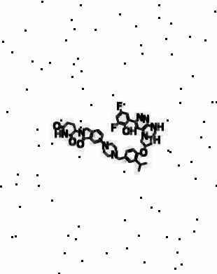 CC(C)c1cc(CN2CCN(c3ccc4c(c3)C(=O)N(C3CCC(=O)NC3=O)C4)CC2)ccc1O[C@@H]1C[C@@H]2CNc3nnc(-c4cc(F)cc(F)c4O)cc3N2C1